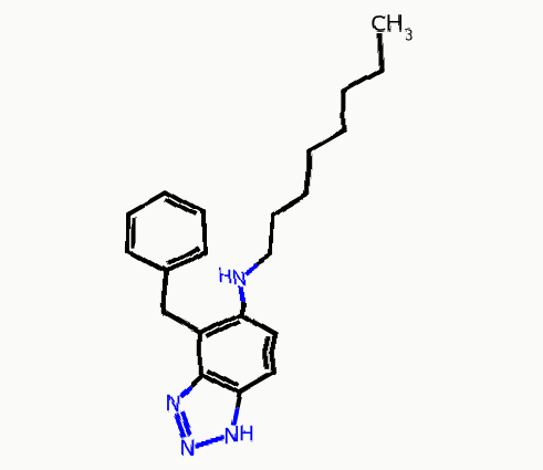 CCCCCCCCNc1ccc2[nH]nnc2c1Cc1ccccc1